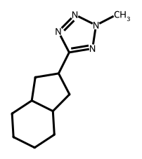 Cn1nnc(C2CC3CCCCC3C2)n1